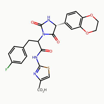 O=C(O)c1csc(NC(=O)C(Cc2ccc(F)cc2)N2C(=O)N[C@H](c3ccc4c(c3)OCCO4)C2=O)n1